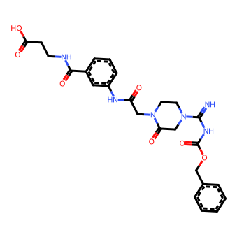 N=C(NC(=O)OCc1ccccc1)N1CCN(CC(=O)Nc2cccc(C(=O)NCCC(=O)O)c2)C(=O)C1